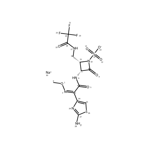 CON=C(C(=O)N[C@H]1C(=O)N(S(=O)(=O)[O-])[C@H]1CNC(=O)C(F)(F)F)c1csc(N)n1.[Na+]